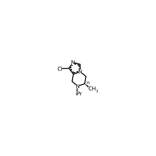 CC(C)N1Cc2c(Cl)ncn2C[C@H]1C